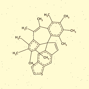 CC1=C(C)c2c(C)c(C)c(C)c(C)c2C2(C=Cc3cc4sccc4cc32)c2c(C)c(C)c(C)c(C)c21